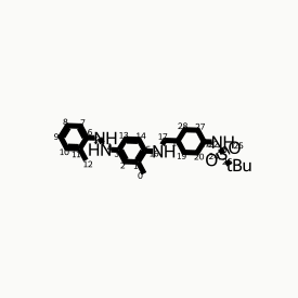 Cc1cc(NNc2ccccc2C)ccc1NCC1CCC(NS(=O)(=O)C(C)(C)C)CC1